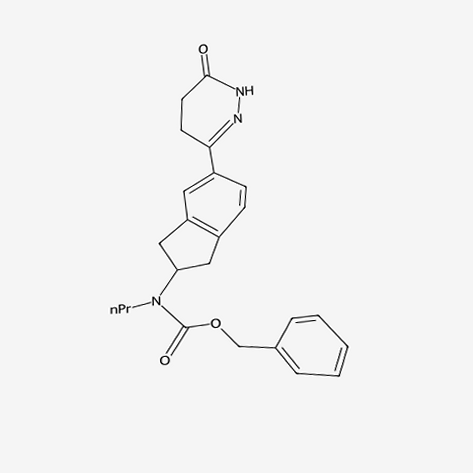 CCCN(C(=O)OCc1ccccc1)C1Cc2ccc(C3=NNC(=O)CC3)cc2C1